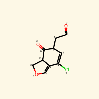 O=CCC1C=C(Cl)C2=COCC2C1=O